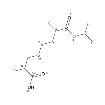 CC(C)OC(=O)C(C)CSSCC(C)C(=O)O